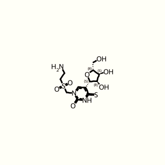 NCCS(=O)(=O)Cn1cc([C@@H]2O[C@H](CO)[C@@H](O)[C@H]2O)c(=S)[nH]c1=O